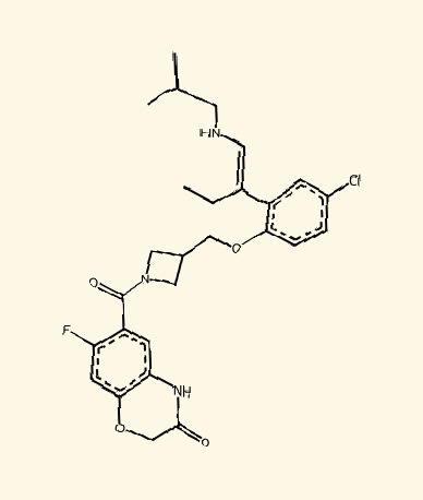 CC/C(=C\NCC(C)C)c1cc(Cl)ccc1OCC1CN(C(=O)c2cc3c(cc2F)OCC(=O)N3)C1